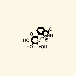 O=C1NS(=O)(=O)c2c1cccc2[C@H]1O[C@H](CO)[C@@H](O)[C@H](O)[C@H]1O